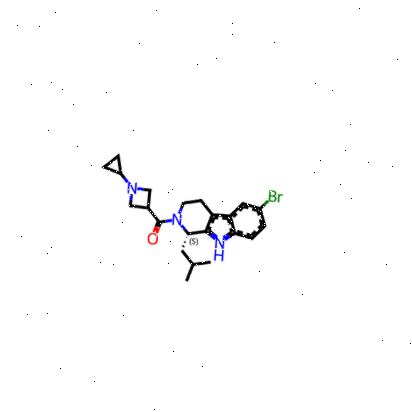 CC(C)C[C@H]1c2[nH]c3ccc(Br)cc3c2CCN1C(=O)C1CN(C2CC2)C1